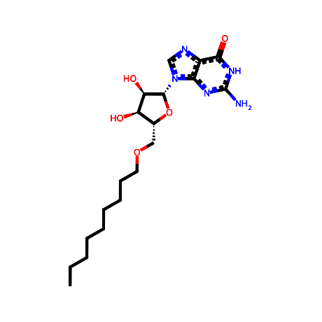 CCCCCCCCCOC[C@H]1O[C@@H](n2cnc3c(=O)[nH]c(N)nc32)[C@H](O)[C@@H]1O